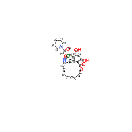 O=C1OCC/C=C/CCCCC(=NOCC(=O)N2CCCCC2)Cc2c(Cl)c(O)cc(O)c21